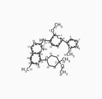 COc1cc(-c2cnnn2C)ccc1Nc1ncc2cc(C)nc(N3CCC(C)(OC)CC3)c2n1